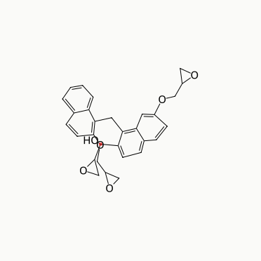 OC(c1ccc2ccc(OCC3CO3)cc2c1Cc1c(OCC2CO2)ccc2ccccc12)C1CO1